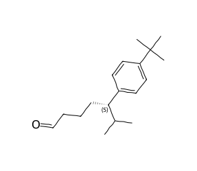 CC(C)[C@H](CCCC=O)c1ccc(C(C)(C)C)cc1